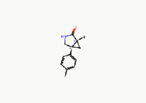 Cc1ccc([C@@]23CNC(=O)[C@@H]2C3)cc1